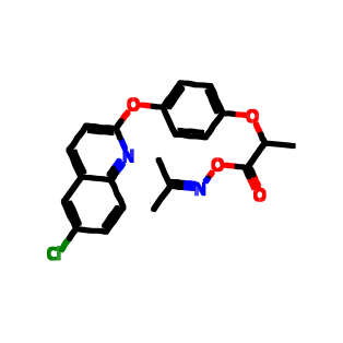 CC(C)=NOC(=O)C(C)Oc1ccc(Oc2ccc3cc(Cl)ccc3n2)cc1